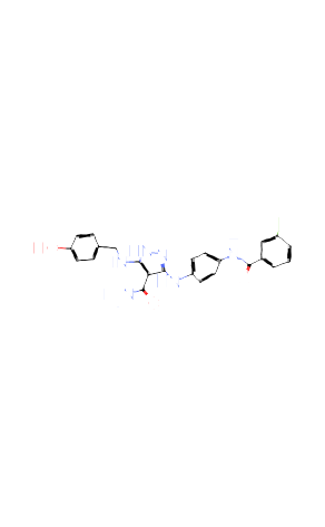 NC(=O)c1c(Nc2ccc(NC(=O)c3cccc(F)c3)cc2)n[nH]c1NCc1ccc(O)cc1